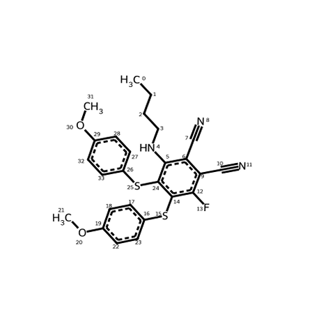 CCCCNc1c(C#N)c(C#N)c(F)c(Sc2ccc(OC)cc2)c1Sc1ccc(OC)cc1